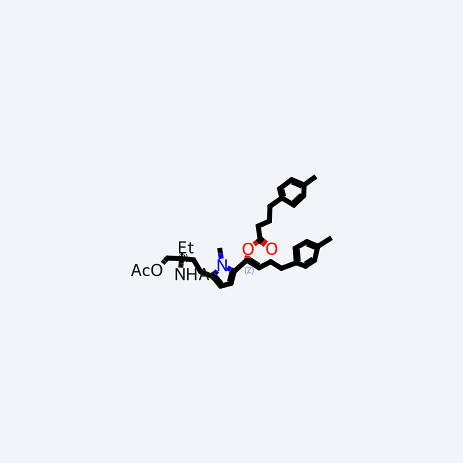 CC[C@@](CCc1ccc(/C(=C/CCc2ccc(C)cc2)OC(=O)CCCc2ccc(C)cc2)n1C)(COC(C)=O)NC(C)=O